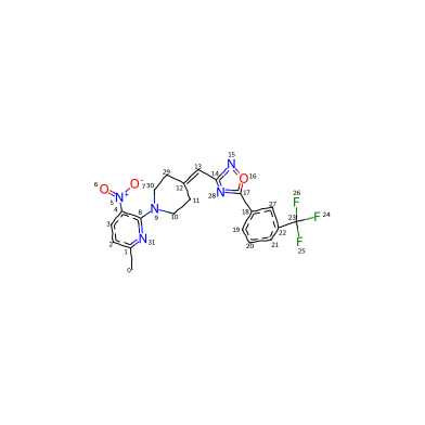 Cc1ccc([N+](=O)[O-])c(N2CCC(=Cc3noc(-c4cccc(C(F)(F)F)c4)n3)CC2)n1